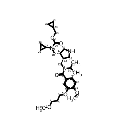 COCCCOc1cc(C(=O)N(C[C@@H]2CNC[C@H]2CN(C(=O)OCC2CC2)C2CC2)C(C)C)ccc1OC